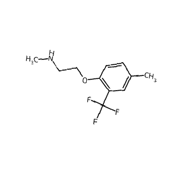 CNCCOc1ccc(C)cc1C(F)(F)F